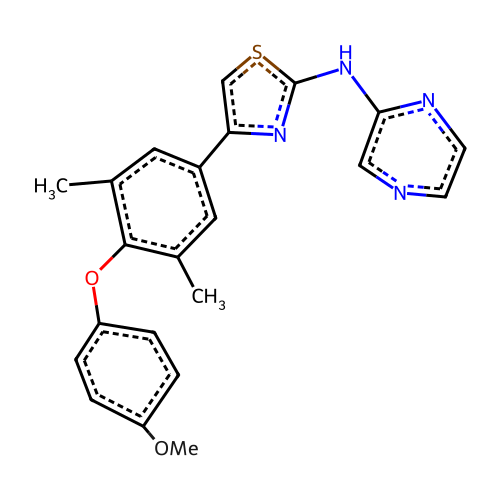 COc1ccc(Oc2c(C)cc(-c3csc(Nc4cnccn4)n3)cc2C)cc1